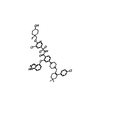 CC1(C)CCC(CN2CCN(c3ccc(C(=O)NS(=O)(=O)c4cnc(OCC5(F)CCC(O)CC5)c(Cl)c4)c(Oc4cccc5[nH]ncc45)c3)CC2)=C(c2ccc(Cl)cc2)C1